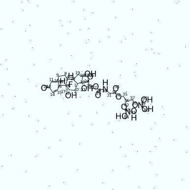 C[C@]12C[C@H](O)[C@@]3(F)[C@@H](CCC4=CC(=O)C=C[C@@]43C)[C@@H]1C[C@@H](O)C2(O)C(=O)COC(=O)NCC(=O)OCC(CON(O)O)ON(O)O